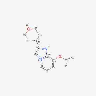 CC(C)Oc1cccn2cc(C3CCOCC3)nc12